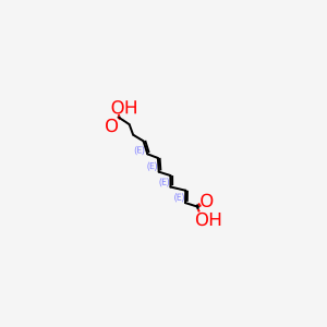 O=C(O)/C=C/C=C/C=C/C=C/CCC(=O)O